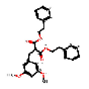 COc1cc(CC(C(=O)OCCc2ccccc2)C(=O)OCCc2ccccc2)cc(OC)c1